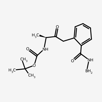 BNC(=O)c1ccccc1CC(=O)[C@H](C)NC(=O)OC(C)(C)C